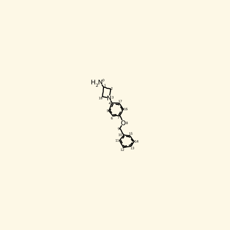 NC1CN(c2ccc(OCc3ccccc3)cc2)C1